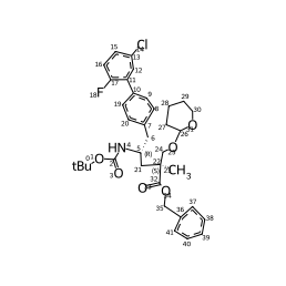 CC(C)(C)OC(=O)N[C@H](Cc1ccc(-c2cc(Cl)ccc2F)cc1)C[C@@](C)(COC1CCCCO1)C(=O)OCc1ccccc1